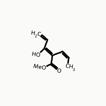 C=C/C(O)=C(\C=C/C)C(=O)OC